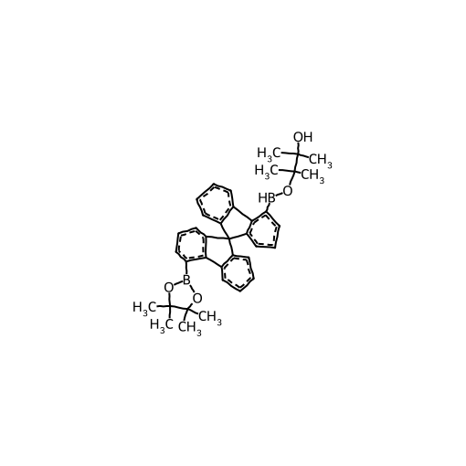 CC(C)(O)C(C)(C)OBc1cccc2c1-c1ccccc1C21c2ccccc2-c2c(B3OC(C)(C)C(C)(C)O3)cccc21